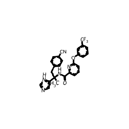 CC(Cc1ccc(C#N)cc1)(NC(=O)c1cccc(Oc2cccc(C(F)(F)F)c2)n1)c1cnc[nH]1